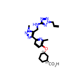 C=CCn1nnc(NCc2c(-c3ccc(O[C@H]4CCC[C@H](C(=O)O)C4)c(C)n3)nnn2C)n1